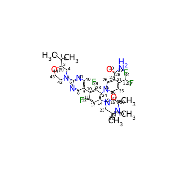 CC(C)[C@H]1CN(c2ncc(-c3c(F)cc(N4C[C@@H](C)N(C)[C@@H](C)C4)c(-n4cc(C(N)=O)c(C(F)F)cc4=O)c3F)cn2)CCO1